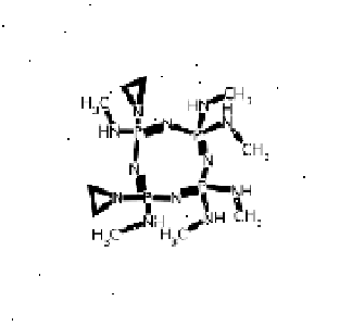 CNP1(NC)=NP(NC)(NC)=NP(NC)(N2CC2)=NP(NC)(N2CC2)=N1